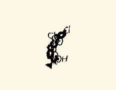 C[C@H](C(=O)O)[C@H](c1ccc2c(c1)OC1(CC2)CCN(S(=O)(=O)c2ccc(Cl)cc2Cl)CC1)C1CC1